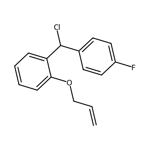 C=CCOc1ccccc1C(Cl)c1ccc(F)cc1